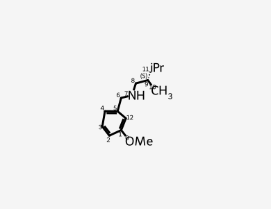 COc1cccc(CNC[C@@H](C)C(C)C)c1